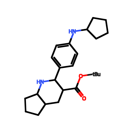 CC(C)(C)OC(=O)C1CC2CCCC2NC1c1ccc(NC2CCCC2)cc1